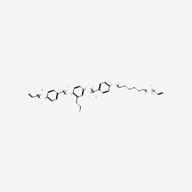 C=CC(=O)OCCCCCCOc1ccc(C(=O)Oc2ccc(OC(=O)c3ccc(OC(=O)C=C)cc3)c(CCC)c2)cc1